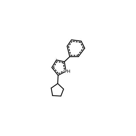 [c]1cc(C2CCCC2)[pH]c1-c1ccccc1